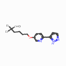 CCC(C=O)(CC)CCCCOc1ccc(-c2ccn[nH]2)nc1